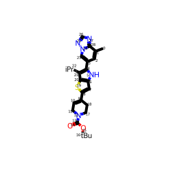 Cc1cc(-c2[nH]c3cc(C4=CCN(C(=O)OC(C)(C)C)CC4)sc3c2C(C)C)cn2ncnc12